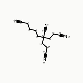 N#CCCCCC(C#N)(CCC#N)CCC#N